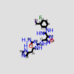 N=C(Nc1ccc(F)c(CI)c1)c1nonc1CNC(=NC(N)=O)NCCc1cnc[nH]1